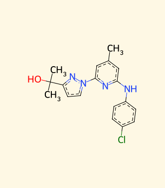 Cc1cc(Nc2ccc(Cl)cc2)nc(-n2ccc(C(C)(C)O)n2)c1